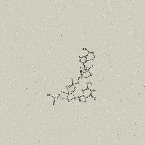 Nc1nc2c(ncn2[C@@H]2O[C@H](CO[PH](O)=S)C(F)(F)[C@H]2OP(O)(=S)OC[C@@]23CO[C@@H]([C@H](n4cnc5c(N)ncnc54)O2)[C@@H]3O)c(=O)[nH]1